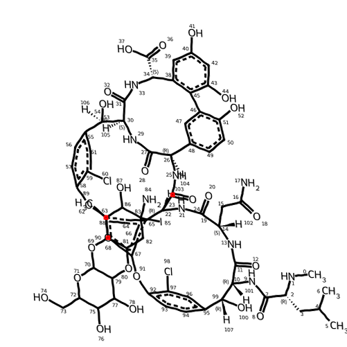 CN[C@H](CC(C)C)C(=O)N[C@H]1C(=O)N[C@@H](CC(N)=O)C(=O)N[C@H]2C(=O)N[C@H]3C(=O)N[C@H](C(=O)N[C@H](C(=O)O)c4cc(O)cc(O)c4-c4cc3ccc4O)[C@H](O)c3ccc(c(Cl)c3)Oc3cc2cc(c3OC2OC(CO)C(O)C(O)C2OC2CC(N)(I)C(O)C(C)O2)Oc2ccc(cc2Cl)[C@H]1O